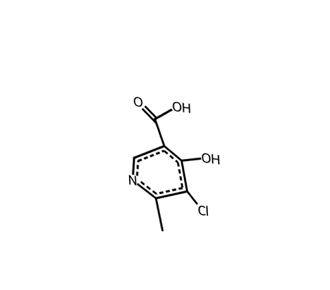 Cc1ncc(C(=O)O)c(O)c1Cl